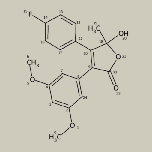 COc1cc(OC)cc(C2=C(c3ccc(F)cc3)C(C)(O)OC2=O)c1